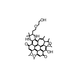 COc1c(O)c2c(=O)cc(OC)c3c4c(OC)cc(=O)c5c6c(c7c(c(c1C(C(C)=O)C(C)=C7)c23)c54)NC(CCOCCO)C(C)(C)N6